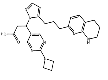 O=C(O)CC(c1cnc(N2CCC2)nc1)n1nccc1CCCc1ccc2c(n1)NCCC2